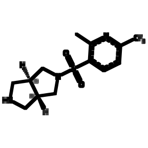 Cc1nc(C(F)(F)F)ccc1S(=O)(=O)N1C[C@@H]2CNC[C@H]2C1